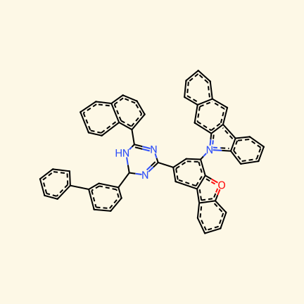 c1ccc(-c2cccc(C3N=C(c4cc(-n5c6ccccc6c6cc7ccccc7cc65)c5oc6ccccc6c5c4)N=C(c4cccc5ccccc45)N3)c2)cc1